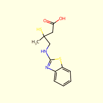 CC(S)(CNc1nc2ccccc2s1)CC(=O)O